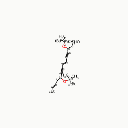 CCC=CCC(C#CC=CC#CC(CC=O)O[Si](C)(C)C(C)(C)C)O[Si](C)(C)C(C)(C)C